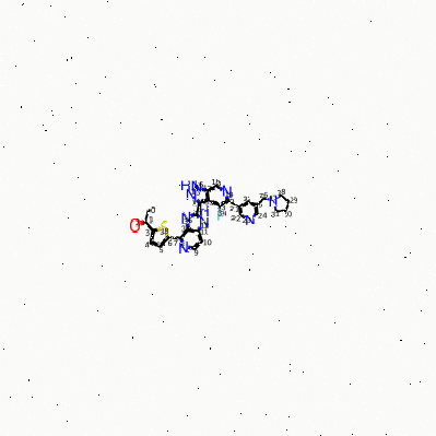 CC(=O)c1ccc(-c2nccc3[nH]c(-c4n[nH]c5cnc(-c6cncc(CN7CCCC7)c6)c(F)c45)nc23)s1